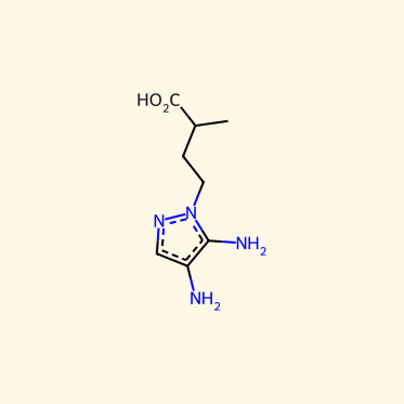 CC(CCn1ncc(N)c1N)C(=O)O